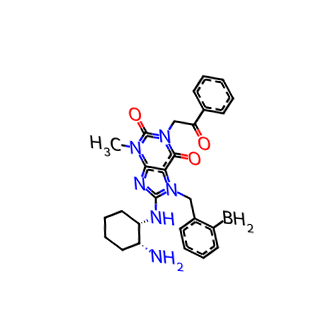 Bc1ccccc1Cn1c(N[C@H]2CCCC[C@H]2N)nc2c1c(=O)n(CC(=O)c1ccccc1)c(=O)n2C